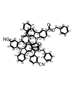 N#Cc1cccc(-c2ccc(-n3c4ccccc4c4cc(C(=O)OCc5ccccc5)ccc43)c(-c3nc(-c4ccccc4)nc(-c4cc(C#N)ccc4-n4c5ccccc5c5cc(C(=O)OCc6ccccc6)ccc54)n3)c2)c1